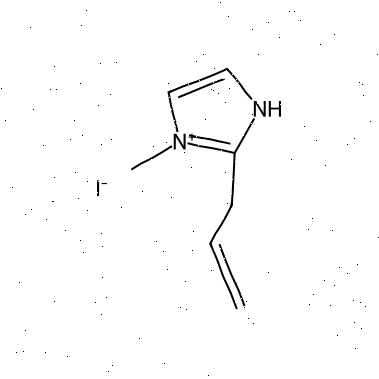 C=CCc1[nH]cc[n+]1C.[I-]